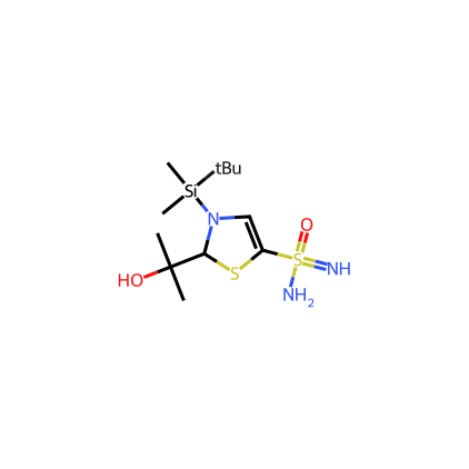 CC(C)(O)C1SC(S(=N)(N)=O)=CN1[Si](C)(C)C(C)(C)C